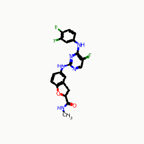 CNC(=O)C1Cc2cc(Nc3ncc(F)c(Nc4ccc(F)c(F)c4)n3)ccc2O1